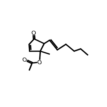 CCCCC=CC1C(=O)C=CC1(C)OC(C)=O